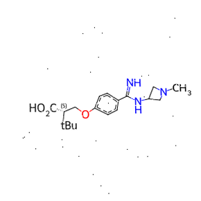 CN1CC(NC(=N)c2ccc(OC[C@@H](C(=O)O)C(C)(C)C)cc2)C1